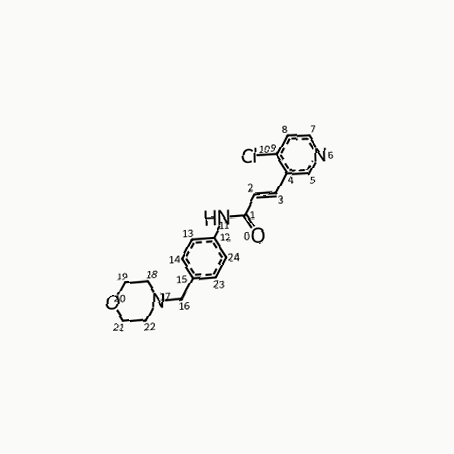 O=C(C=Cc1cnccc1Cl)Nc1ccc(CN2CCOCC2)cc1